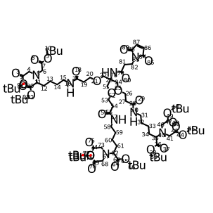 CC(C)(C)OC(=O)CN(CC(=O)OC(C)(C)C)C(CCCCNC(=O)CCOCC(COCCC(=O)NCCCCC(C(=O)OC(C)(C)C)N(CC(=O)OC(C)(C)C)CC(=O)OC(C)(C)C)(COCCC(=O)NCCCCC(C(=O)OC(C)(C)C)N(CC(=O)OC(C)(C)C)CC(=O)OC(C)(C)C)NC(=O)CCN1C(=O)C=CC1=O)C(=O)OC(C)(C)C